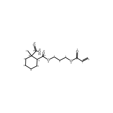 C=CC(=O)OCCCOC(=O)C1CCCCC1(C)C(=O)O